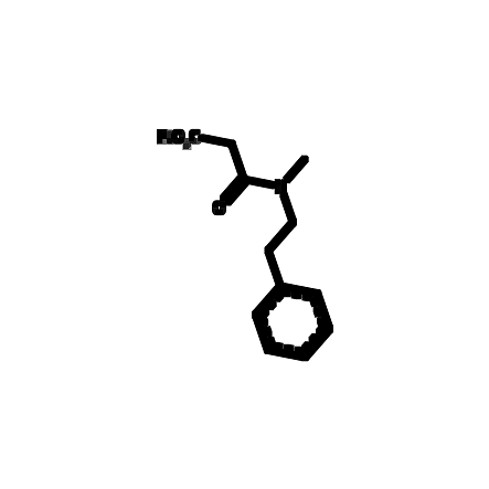 CCOC(=O)CC(=O)N(C)CCc1ccccc1